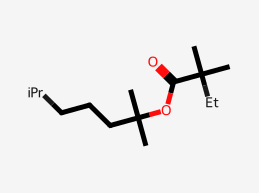 CCC(C)(C)C(=O)OC(C)(C)CCCC(C)C